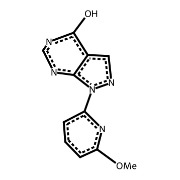 COc1cccc(-n2ncc3c(O)ncnc32)n1